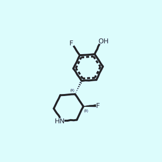 Oc1ccc([C@H]2CCNC[C@@H]2F)cc1F